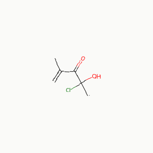 [CH2]C(O)(Cl)C(=O)C(=C)C